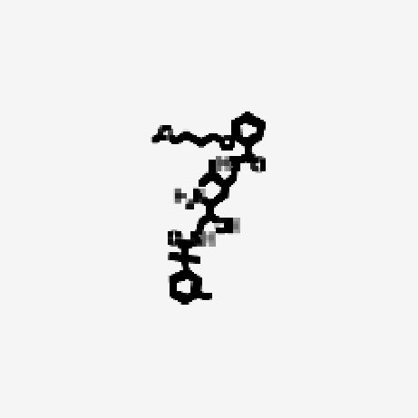 COCCCCOc1ccccc1C(=O)NCC(CC(N)C(O)CNC(=O)C(C)(C)c1cccc(C)c1)C(C)C